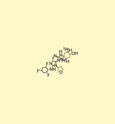 [2H]C1([2H])CC([2H])(Nc2ncc3nc(Nc4c(F)cc(F)cc4F)n(C4CCOC4)c3n2)C([2H])([2H])CC1O